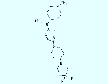 CN1CCC(N(C)c2ccc(N3CCC(N4CCC(F)(F)CC4)CC3)cc2)CC1